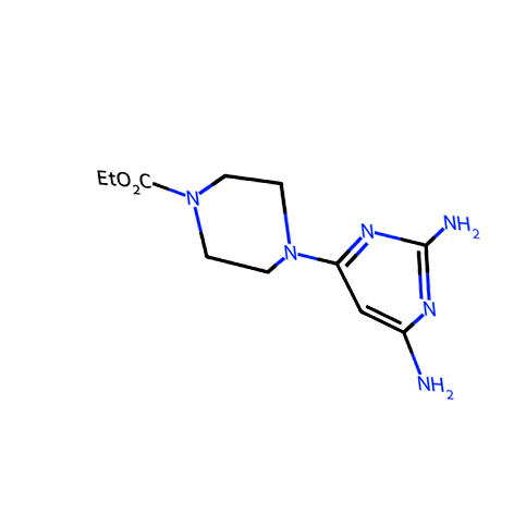 CCOC(=O)N1CCN(c2cc(N)nc(N)n2)CC1